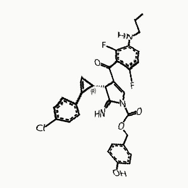 CCCNc1ccc(F)c(C(=O)C2=CN(C(=O)OCc3ccc(O)cc3)C(=N)C2[C@H]2C=C2c2ccc(Cl)cc2)c1F